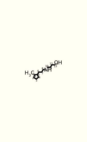 CC1CCCC1CCCNCCCCO